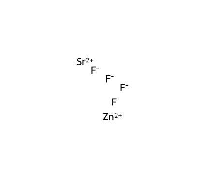 [F-].[F-].[F-].[F-].[Sr+2].[Zn+2]